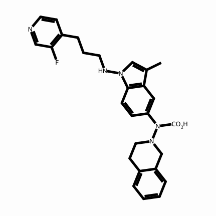 Cc1cn(NCCCc2ccncc2F)c2ccc(N(C(=O)O)N3CCc4ccccc4C3)cc12